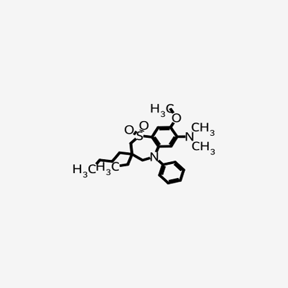 CCCCC1(CC)CN(c2ccccc2)c2cc(N(C)C)c(OC)cc2S(=O)(=O)C1